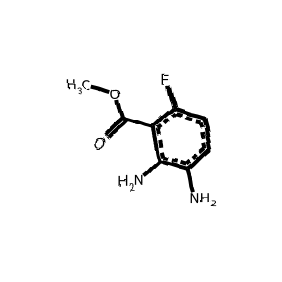 COC(=O)c1c(F)ccc(N)c1N